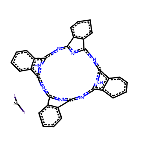 [I][Ni][I].c1ccc2c(c1)-c1nc-2nc2[nH]c(nc3nc(nc4[nH]c(n1)c1ccccc41)-c1ccccc1-3)c1ccccc21